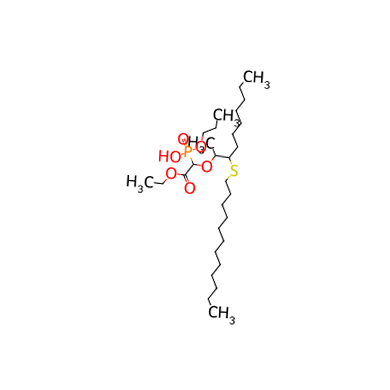 CCCCCCCCCCCCSC(CCCCCCC)C(C)OC(C(=O)OCC)P(=O)(O)OCCC